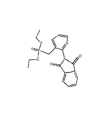 CCOP(=O)(Cc1cccnc1N1C(=O)c2ccccc2C1=O)OCC